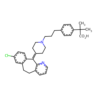 CC(C)(C(=O)O)c1ccc(CCCN2CCC(=C3c4ccc(Cl)cc4CCc4cccnc43)CC2)cc1